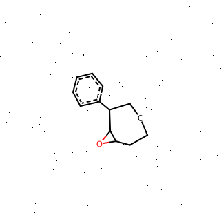 c1ccc(C2CCCCC3OC32)cc1